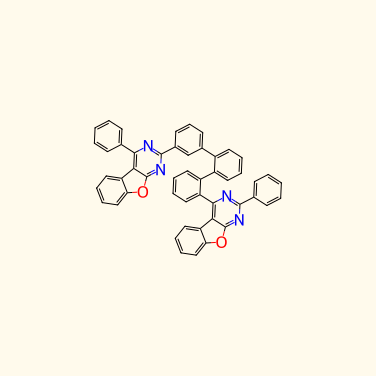 c1ccc(-c2nc(-c3ccccc3-c3ccccc3-c3cccc(-c4nc(-c5ccccc5)c5c(n4)oc4ccccc45)c3)c3c(n2)oc2ccccc23)cc1